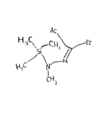 CCC(=NN(C)[Si](C)(C)C)C(C)=O